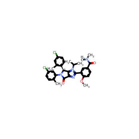 COc1ccc(C(=O)N(C)C)cc1-c1nc2c(n1C(C)C)[C@H](c1ccc(Cl)cc1C)N(c1cc(Cl)ccc1C)C2=O